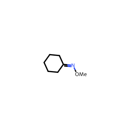 [CH2]ON=C1CCCCC1